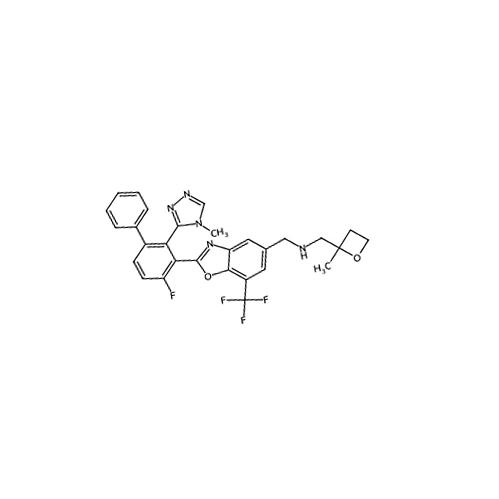 Cn1cnnc1-c1c(-c2ccccc2)ccc(F)c1-c1nc2cc(CNCC3(C)CCO3)cc(C(F)(F)F)c2o1